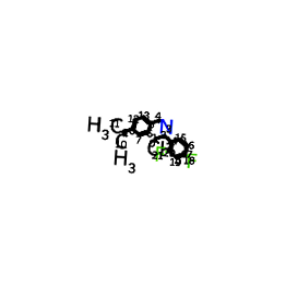 CCC(/N=C\c1ccc(C(C)C)cc1)c1ccc(F)cc1F